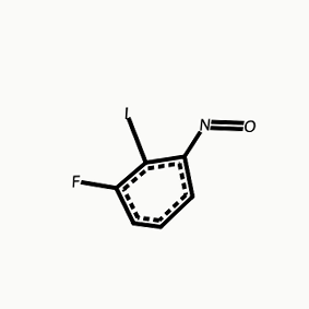 O=Nc1cccc(F)c1I